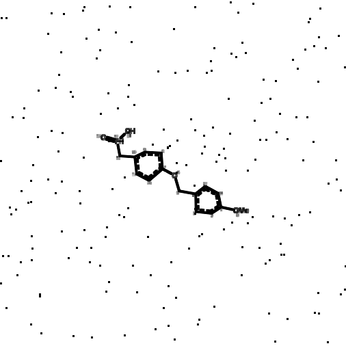 COc1ccc(COc2ccc(C[PH](=O)O)cc2)cc1